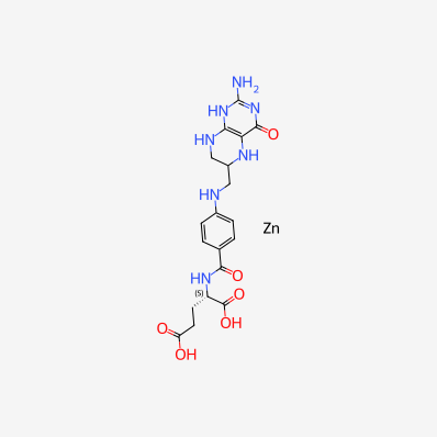 Nc1nc(=O)c2c([nH]1)NCC(CNc1ccc(C(=O)N[C@@H](CCC(=O)O)C(=O)O)cc1)N2.[Zn]